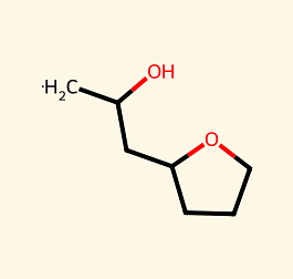 [CH2]C(O)CC1CCCO1